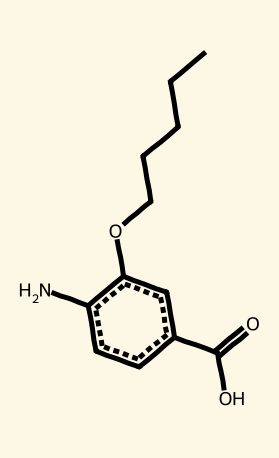 CCCCCOc1cc(C(=O)O)ccc1N